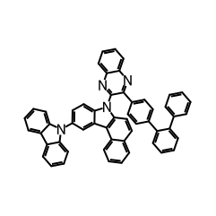 c1ccc(-c2ccccc2-c2ccc(-c3nc4ccccc4nc3-n3c4ccc(-n5c6ccccc6c6ccccc65)cc4c4c5ccccc5ccc43)cc2)cc1